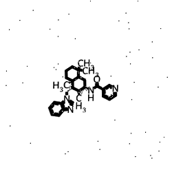 C[C@@H]1[C@H](NC(=O)c2cccnc2)CC2C(C)(C)CCC[C@]2(C)[C@H]1Cn1cnc2ccccc21